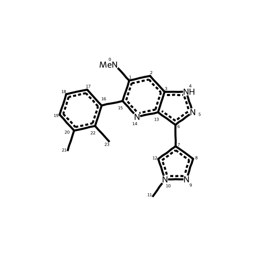 CNc1cc2[nH]nc(-c3cnn(C)c3)c2nc1-c1cccc(C)c1C